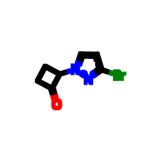 O=C1CCC1n1ccc(Br)n1